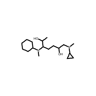 CC(O)C(CCC(O)CN(C)C1CC1)N(C)C1CCCCC1